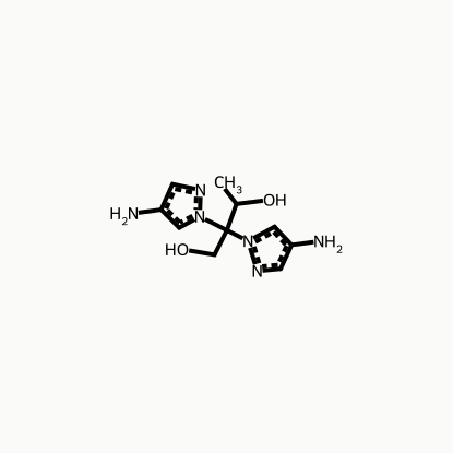 CC(O)C(CO)(n1cc(N)cn1)n1cc(N)cn1